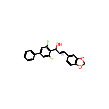 OC(/C=C/c1ccc2c(c1)OCO2)c1c(F)cc(-c2ccccc2)cc1F